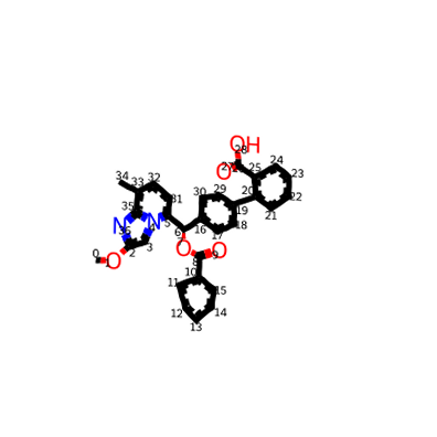 COc1cn2c([C@H](OC(=O)c3ccccc3)c3ccc(-c4ccccc4C(=O)O)cc3)ccc(C)c2n1